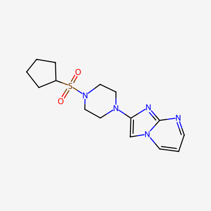 O=S(=O)(C1CCCC1)N1CCN(c2cn3cccnc3n2)CC1